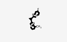 Cc1cccn2cc(C3CC3c3cn4ccc(F)cc4n3)nc12